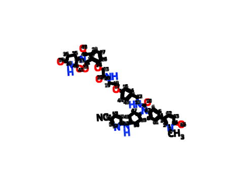 Cn1cc(-c2ccc(N(C(=O)NCc3ccc(OCCNC(=O)COc4cccc5c4C(=O)N(C4CCC(=O)NC4=O)C5=O)cc3)C3CCC(Nc4ccc(C#N)cn4)CC3)cc2)ccc1=O